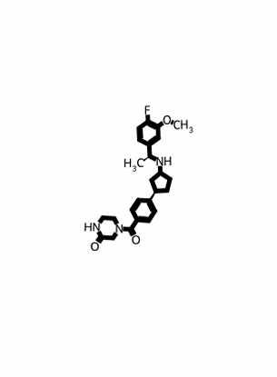 COc1cc([C@@H](C)NC2CC[C@@H](c3ccc(C(=O)N4CCNC(=O)C4)cc3)C2)ccc1F